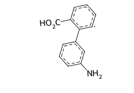 Nc1cccc(-c2[c]cccc2C(=O)O)c1